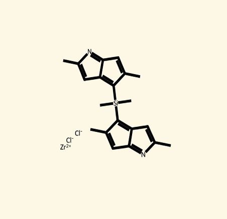 CC1=CC2=C([Si](C)(C)C3=C4C=C(C)N=C4C=C3C)C(C)=CC2=N1.[Cl-].[Cl-].[Zr+2]